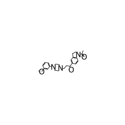 COc1cccc(N2CCN(CCC(=O)c3ccc4c(c3)CCN4C(C)=O)CC2)c1